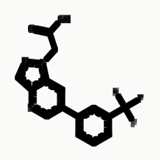 O=C(O)Cn1ncc2ncc(-c3cccc(C(F)(F)F)c3)cc21